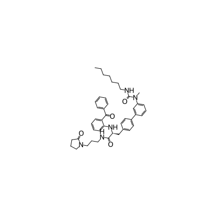 CCCCCCCNC(=O)N(C)c1cccc(-c2ccc(C[C@H](Nc3ccccc3C(=O)c3ccccc3)C(=O)NCCCN3CCCC3=O)cc2)c1